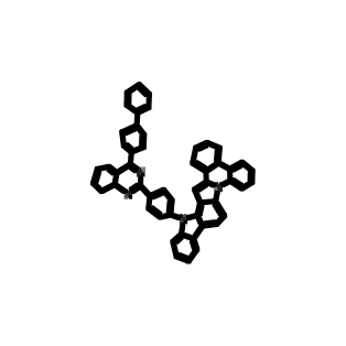 C1=CCC2N=C(c3ccc(-n4c5ccccc5c5ccc6c(cc7c8ccccc8c8ccccc8n76)c54)cc3)N=C(c3ccc(-c4ccccc4)cc3)C2=C1